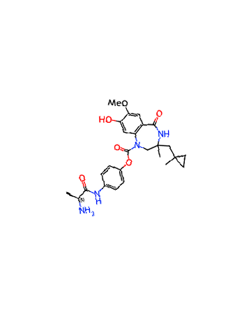 COc1cc2c(cc1O)N(C(=O)Oc1ccc(NC(=O)[C@H](C)N)cc1)CC(C)(CC1(C)CC1)NC2=O